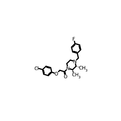 C[C@@H]1[C@@H](C)N(C(=O)COc2ccc(Cl)cc2)CCN1Cc1ccc(F)cc1